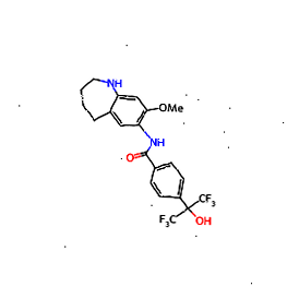 COc1cc2c(cc1NC(=O)c1ccc(C(O)(C(F)(F)F)C(F)(F)F)cc1)CCCCN2